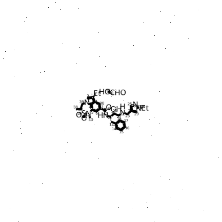 CCc1cn2c3c(cc(C(=O)N[C@@H](Cc4ccccc4)[C@H](O)CNCc4cnn(CC)c4)cc13)N(C)S(=O)(=O)C(C)C2.O=CO